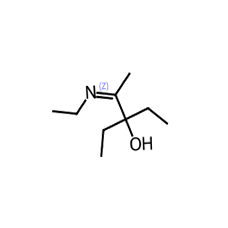 CC/N=C(/C)C(O)(CC)CC